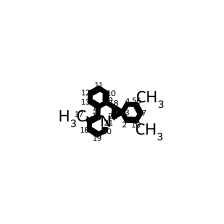 CC1=CC2(CC(C)=C1)C1c3ccccc3-c3c(C)ccc[n+]3C12